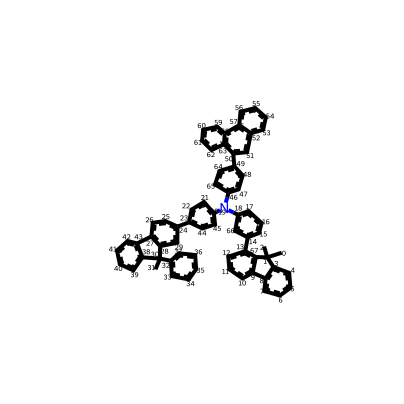 CC1(C)c2ccccc2-c2cccc(-c3cccc(N(c4ccc(-c5ccc6c(c5)C(C)(c5ccccc5)c5ccccc5-6)cc4)c4ccc(-c5cc6ccccc6c6ccccc56)cc4)c3)c21